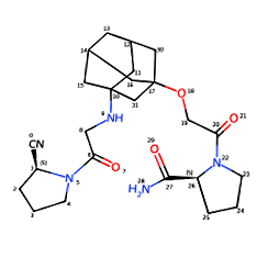 N#C[C@@H]1CCCN1C(=O)CNC12CC3CC(C1)CC(OCC(=O)N1CCC[C@H]1C(N)=O)(C3)C2